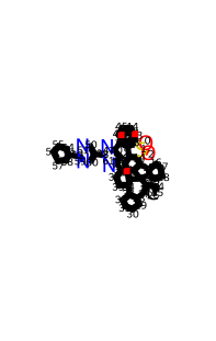 O=S1(=O)c2ccccc2-c2ccc3c(c21)-c1ccccc1C31c2ccccc2-c2ccccc2-c2ccc(-c3cc(-c4ccccc4)nc(-c4cnc(-c5ccccc5)nc4)n3)cc21